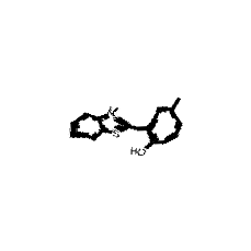 Cc1ccc(O)c(-c2nc3ccccc3s2)c1